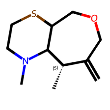 C=C1COCC2SCCN(C)C2[C@H]1C